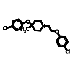 CC1(Oc2ccc(Cl)cc2)CCN(CCOc2ccc(Cl)cc2)CC1